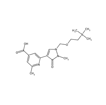 Cc1cc(C(=O)O)cc(-c2cn(COCC[Si](C)(C)C)n(C)c2=O)n1